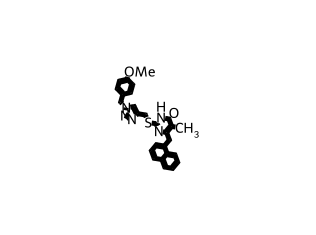 COc1ccc(Cn2cc(CSc3nc(Cc4cccc5ccccc45)c(C)c(=O)[nH]3)nn2)cc1